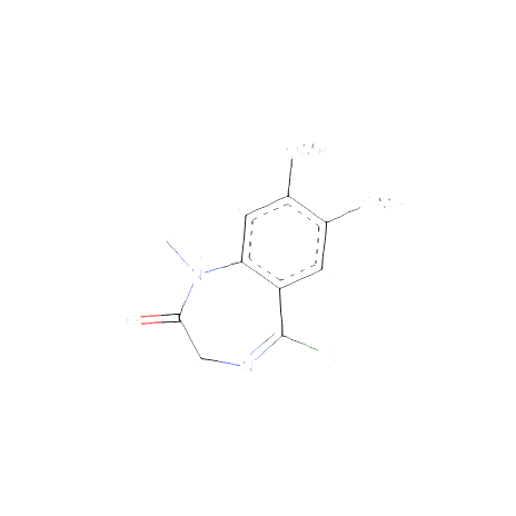 COc1cc2c(cc1OC)N(C)C(=O)CN=C2Cl